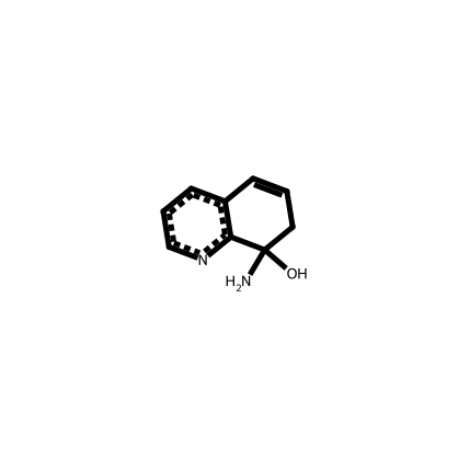 NC1(O)CC=Cc2cccnc21